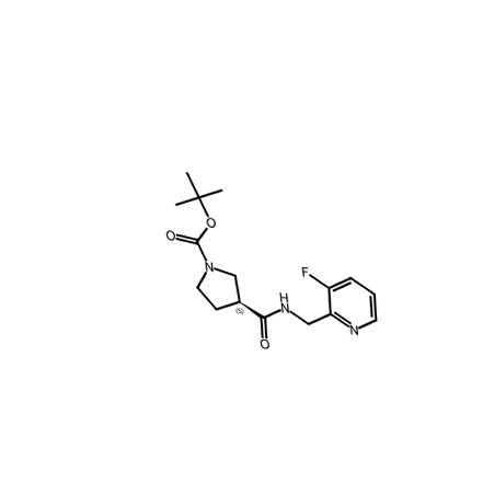 CC(C)(C)OC(=O)N1CC[C@H](C(=O)NCc2ncccc2F)C1